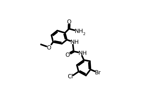 COc1ccc(C(N)=O)c(NC(=O)Nc2cc(Cl)cc(Br)c2)c1